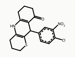 O=C1CCCC2=C1C(c1ccc(Cl)c([N+](=O)[O-])c1)C1=C(CCCS1)N2